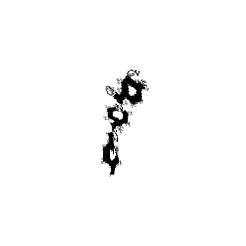 Cc1ccc(CNCC2(F)CCN(C(=O)c3ccc(F)c(C#N)c3)CC2)nc1